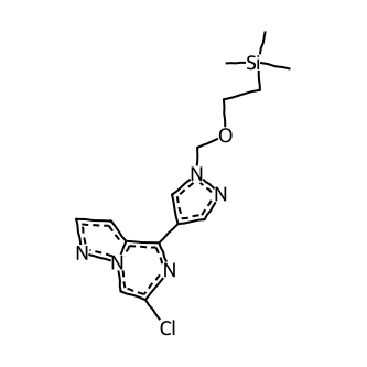 C[Si](C)(C)CCOCn1cc(-c2nc(Cl)cn3nccc23)cn1